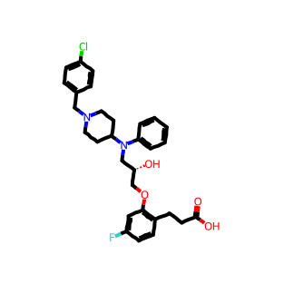 O=C(O)CCc1ccc(F)cc1OC[C@@H](O)CN(c1ccccc1)C1CCN(Cc2ccc(Cl)cc2)CC1